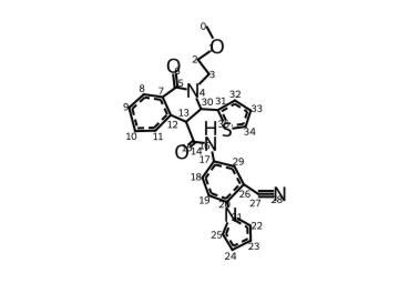 COCCN1C(=O)c2ccccc2C(C(=O)Nc2ccc(-n3cccc3)c(C#N)c2)C1c1cccs1